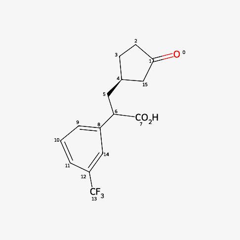 O=C1CC[C@H](CC(C(=O)O)c2cccc(C(F)(F)F)c2)C1